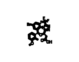 COc1cccc([C@H]2O[C@H](CC(=O)O)c3nnc(C(F)(F)F)n3-c3ccc(Br)cc32)c1C